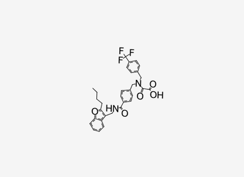 CCCCc1oc2ccccc2c1CNC(=O)c1ccc(CN(Cc2ccc(C(F)(F)F)cc2)C(=O)C(=O)O)cc1